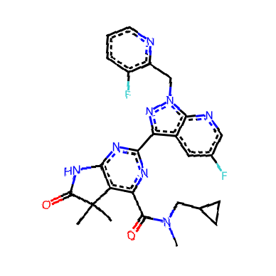 CN(CC1CC1)C(=O)c1nc(-c2nn(Cc3ncccc3F)c3ncc(F)cc23)nc2c1C(C)(C)C(=O)N2